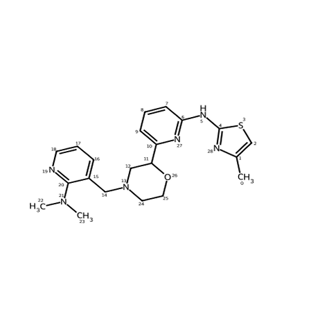 Cc1csc(Nc2cccc(C3CN(Cc4cccnc4N(C)C)CCO3)n2)n1